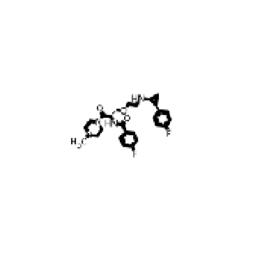 CN1CCN(C(=O)[C@H](COCCNC2C[C@H]2c2ccc(F)cc2)NC(=O)c2ccc(F)cc2)CC1